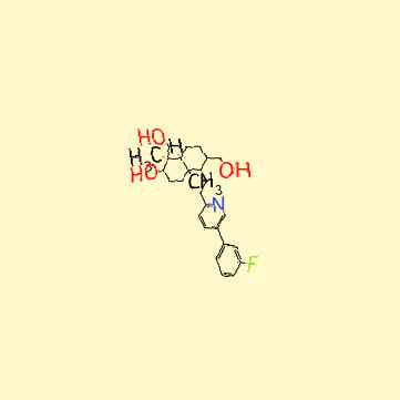 C[C@]1(CO)[C@H]2CCC(CO)[C@@H](CCc3ccc(-c4cccc(F)c4)cn3)[C@]2(C)CC[C@H]1O